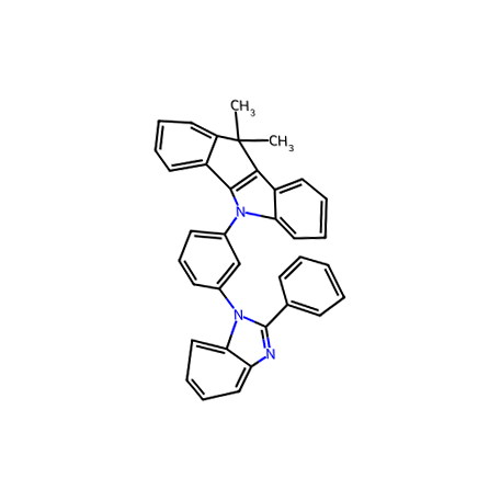 CC1(C)c2ccccc2-c2c1c1ccccc1n2-c1cccc(-n2c(-c3ccccc3)nc3ccccc32)c1